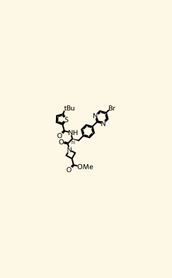 COC(=O)C1CN(C(=O)[C@H](Cc2ccc(-c3ncc(Br)cn3)cc2)NC(=O)c2ccc(C(C)(C)C)s2)C1